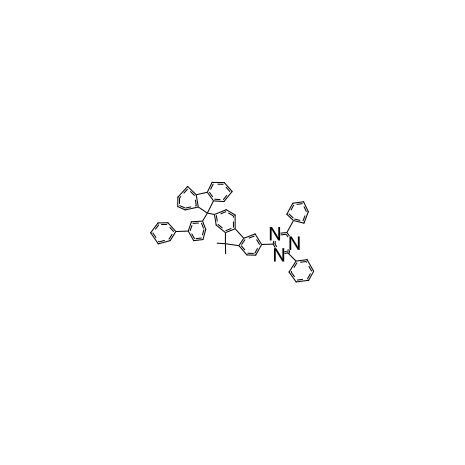 CC1(C)c2ccc(-c3nc(-c4ccccc4)nc(-c4ccccc4)n3)cc2-c2ccc(C3(c4cccc(-c5ccccc5)c4)c4ccccc4-c4ccccc43)cc21